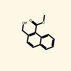 COC(=O)c1c(CO)ccc2ccccc12